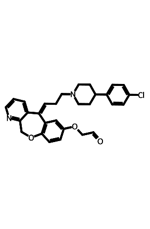 O=CCOc1ccc2c(c1)C(=CCCN1CCC(c3ccc(Cl)cc3)CC1)c1cccnc1CO2